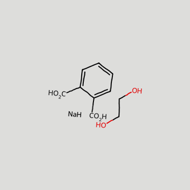 O=C(O)c1ccccc1C(=O)O.OCCO.[NaH]